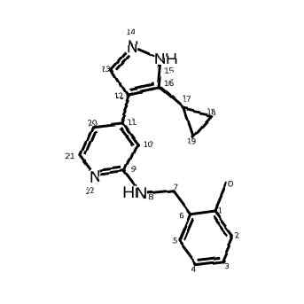 Cc1ccccc1CNc1cc(-c2cn[nH]c2C2CC2)ccn1